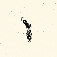 CSc1ccc(S(=O)(=O)N2CCN(c3nc(C(C)(C)c4ccc(F)cc4)no3)CC2)cc1